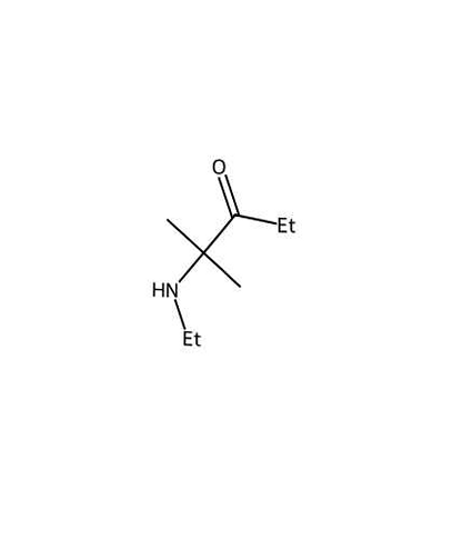 CCNC(C)(C)C(=O)CC